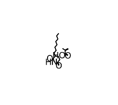 C=C(C)C(=O)O.CCCCCCCCC1CCC(=O)NC1=O